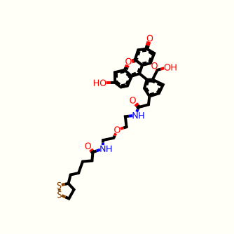 O=C(CCCCC1CCSS1)NCCOCCNC(=O)Cc1ccc(C(=O)O)c(-c2c3ccc(=O)cc-3oc3cc(O)ccc23)c1